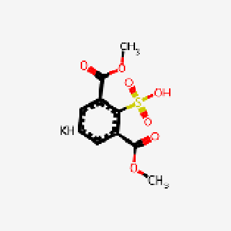 COC(=O)c1cccc(C(=O)OC)c1S(=O)(=O)O.[KH]